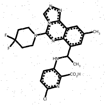 Cc1cc(C(C)Nc2ccc(Cl)nc2C(=O)O)c2nc(N3CCC(F)(F)CC3)n3cnnc3c2c1